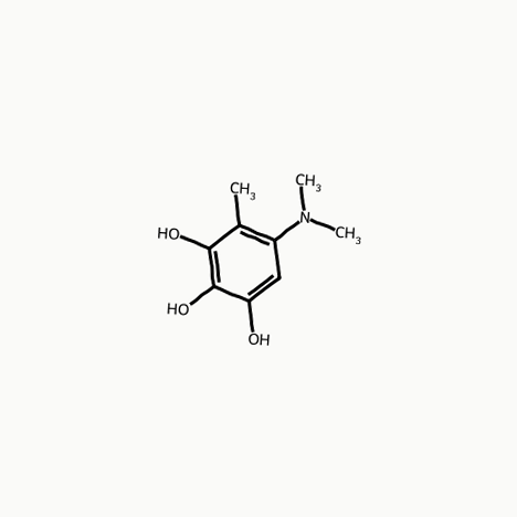 Cc1c(N(C)C)cc(O)c(O)c1O